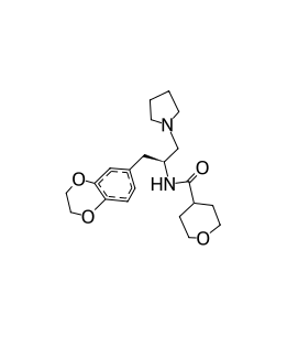 O=C(N[C@@H](Cc1ccc2c(c1)OCCO2)CN1CCCC1)C1CCOCC1